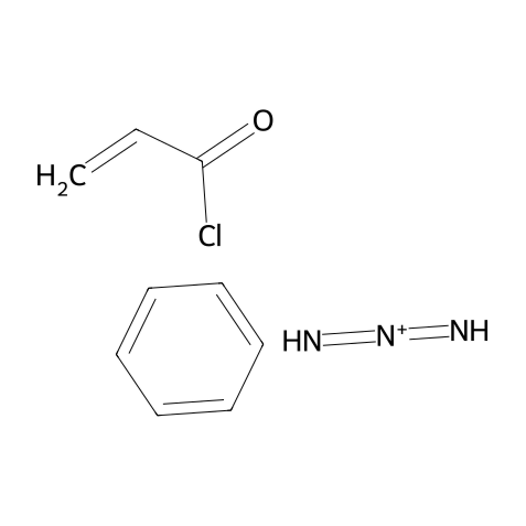 C=CC(=O)Cl.N=[N+]=N.c1ccccc1